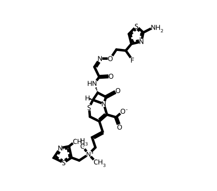 Cc1ncsc1C[N+](C)(C)C/C=C/C1=C(C(=O)[O-])N2C(=O)[C@@H](NC(=O)/C=N\OCC(F)c3csc(N)n3)[C@@H]2SC1